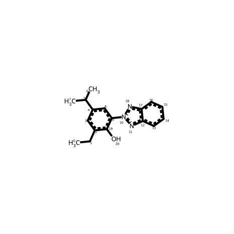 CCc1cc(C(C)C)cc(-n2nc3ccccc3n2)c1O